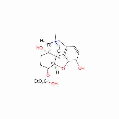 CCOC(=O)O.CN1CC[C@]23c4c5ccc(O)c4O[C@H]2C(=O)CC[C@@]3(O)[C@H]1C5